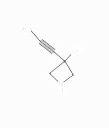 CC(C)C#CC1(O)CNC1